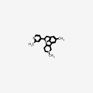 Cc1cc2c3c(c1)c1c(n3C(c3ccnc(C)c3)C2)CCN(C)C1